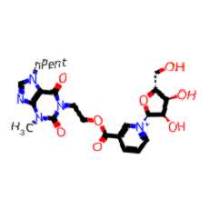 CCCCCn1cnc2c1c(=O)n(CCOC(=O)c1ccc[n+]([C@@H]3O[C@H](CO)[C@@H](O)[C@H]3O)c1)c(=O)n2C